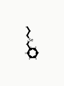 CCC[Se]Cc1ccccc1